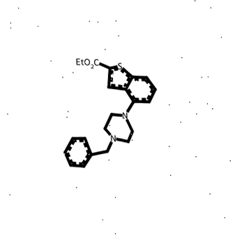 CCOC(=O)c1cc2c(N3CCN(Cc4ccccc4)CC3)cccc2s1